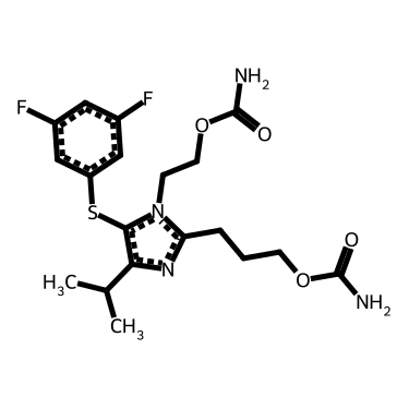 CC(C)c1nc(CCCOC(N)=O)n(CCOC(N)=O)c1Sc1cc(F)cc(F)c1